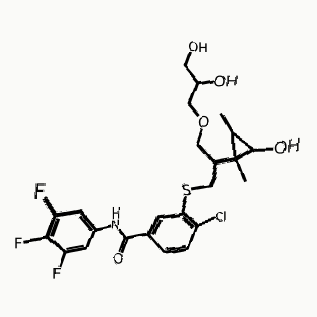 CC1C(O)C1(C)C(COCC(O)CO)CSc1cc(C(=O)Nc2cc(F)c(F)c(F)c2)ccc1Cl